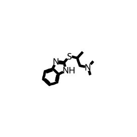 CC(CN(C)C)Sc1nc2ccccc2[nH]1